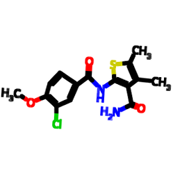 COc1ccc(C(=O)Nc2sc(C)c(C)c2C(N)=O)cc1Cl